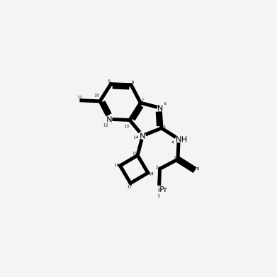 C=C(CC(C)C)Nc1nc2ccc(C)nc2n1C1CCC1